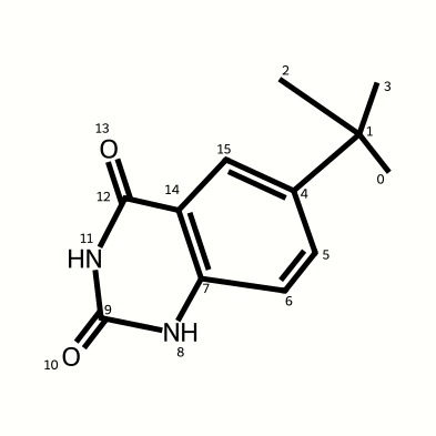 CC(C)(C)c1ccc2[nH]c(=O)[nH]c(=O)c2c1